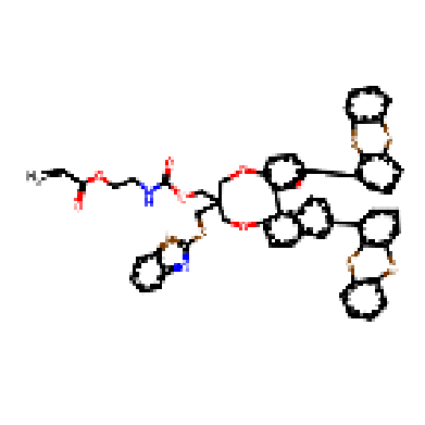 C=CC(=O)OCCNC(=O)OCC1(CSc2nc3ccccc3s2)COc2ccc3cc(-c4cccc5c4Sc4ccccc4S5)ccc3c2-c2c(ccc3cc(-c4cccc5c4Sc4ccccc4S5)ccc23)OC1